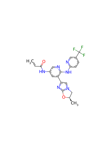 C=CC(=O)Nc1cnc(Nc2ccc(C(F)(F)F)cn2)c(-c2cn3c(n2)O[C@H](C)C3)c1